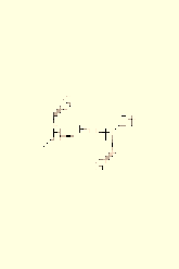 CCN(C=S)CC.CN(C)C=S